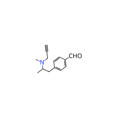 C#CCN(C)C(C)Cc1ccc(C=O)cc1